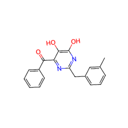 Cc1cccc(Cc2nc(O)c(O)c(C(=O)c3ccccc3)n2)c1